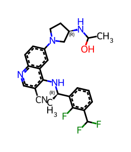 CC(O)N[C@@H]1CCN(c2ccc3ncc(C#N)c(N[C@H](C)c4cccc(C(F)F)c4F)c3c2)C1